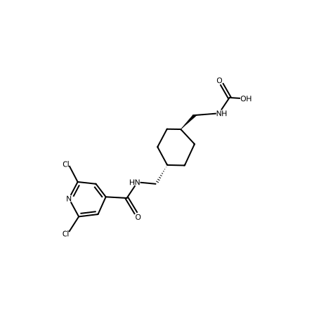 O=C(O)NC[C@H]1CC[C@H](CNC(=O)c2cc(Cl)nc(Cl)c2)CC1